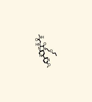 CCCOCCn1c(=O)c(NCC(=O)NC)nc2cnc(-c3ccc(OC)nc3)cc21